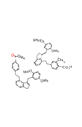 COC(=O)c1ccc(CCc2cccc3c2C(Cc2cc(OC)ccc2OC)=CC3)cc1.COc1ccc(OC)c(C=C2CCc3cccc(CCc4ccc(C(=O)O)c(C)c4)c32)c1